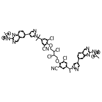 CC(c1cc(Cl)c(OCC(Cl)C(Cl)COc2c(Cl)cc(C(C)(C)n3cc(-c4ccc5nc(NS(C)(=O)=O)ncc5c4)cn3)cc2C#N)c(C#N)c1)n1cc(-c2ccc3cnc(NS(C)(=O)=O)nc3c2)cn1